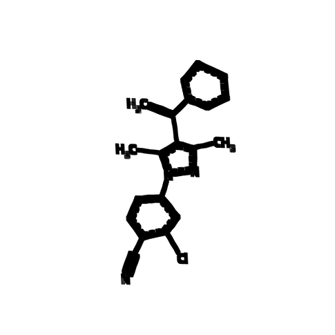 C=C(c1ccccc1)c1c(C)nn(-c2ccc(C#N)c(Cl)c2)c1C